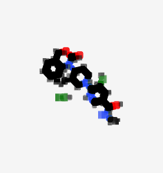 CC(C)NC(=O)c1cnc(N2CC[C@H](N3C(=O)OCc4ccccc43)[C@@H](C)C2)c(Cl)c1.Cl